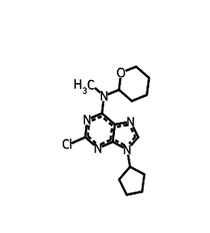 CN(c1nc(Cl)nc2c1ncn2C1CCCC1)C1CCCCO1